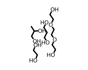 CC(O)CO.OCCCO.OCCO.OCCOCCOCCO